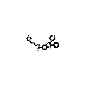 O=C(NCCCn1ccnc1)c1ccc2nc(-c3ccccc3)c(N3CCOCC3)nc2c1